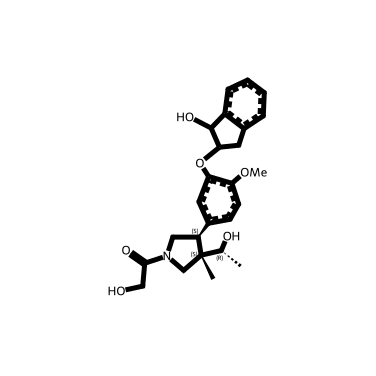 COc1ccc([C@@H]2CN(C(=O)CO)C[C@@]2(C)[C@@H](C)O)cc1OC1Cc2ccccc2C1O